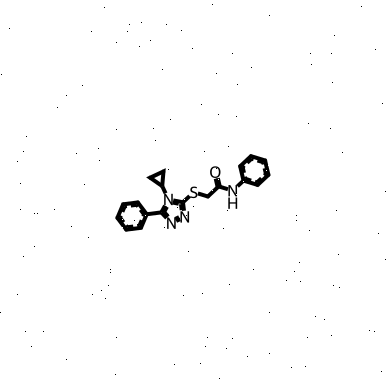 O=C(CSc1nnc(-c2ccccc2)n1C1CC1)Nc1ccccc1